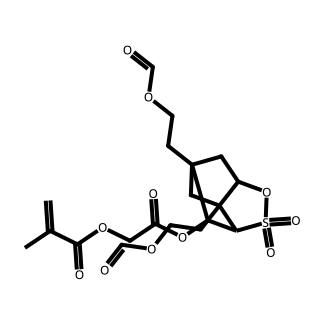 C=C(C)C(=O)OCC(=O)OC1C2C3(CCOC=O)CC1(CCOC=O)CC3OS2(=O)=O